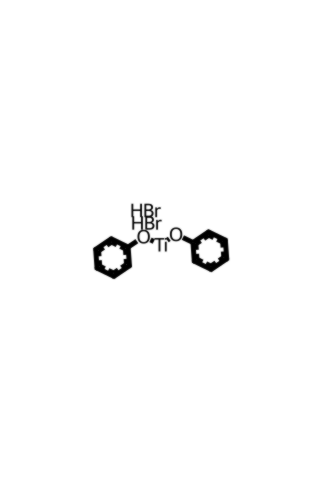 Br.Br.c1ccc([O][Ti][O]c2ccccc2)cc1